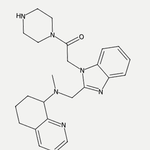 CN(Cc1nc2ccccc2n1CC(=O)N1CCNCC1)C1CCCc2cccnc21